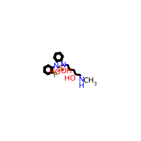 CNCC(O)CCCN1c2ccccc2N(c2ccccc2F)S1(O)O